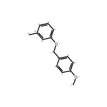 COc1ccc(COc2cccc(C)c2)cc1